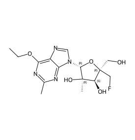 CCOc1nc(C)nc2c1ncn2[C@@H]1O[C@@](CO)(CF)[C@@H](O)[C@@]1(C)O